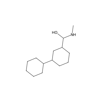 CNC(O)C1CCCC(C2CCCCC2)C1